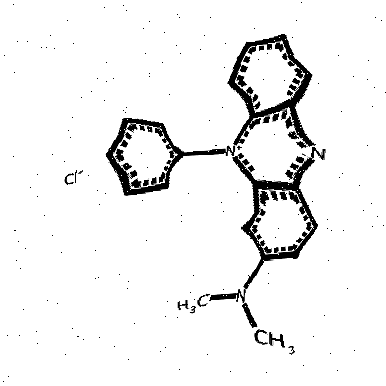 CN(C)c1ccc2nc3ccccc3[n+](-c3ccccc3)c2c1.[Cl-]